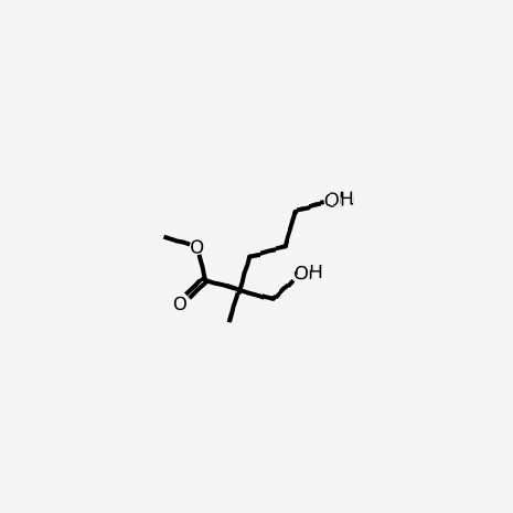 COC(=O)C(C)(CO)CCCO